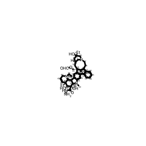 CC[C@]1(O)C[C@H]2CN(CCc3c([nH]c4ccccc34)[C@@](COC=O)(c3cc4c(cc3OC)N(C)[C@H]3[C@@](O)(C(=O)NN)[C@H](O)[C@]5(CC)C=CCN6CC[C@]43[C@@H]65)C2)C1